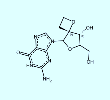 Nc1nc2c(ncn2C2OC(CO)[C@@H](O)[C@]23CCO3)c(=O)[nH]1